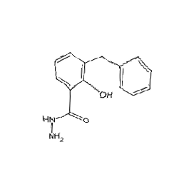 NNC(=O)c1cccc(Cc2ccccc2)c1O